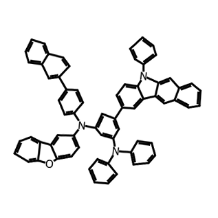 c1ccc(N(c2ccccc2)c2cc(-c3ccc4c(c3)c3cc5ccccc5cc3n4-c3ccccc3)cc(N(c3ccc(-c4ccc5ccccc5c4)cc3)c3ccc4oc5ccccc5c4c3)c2)cc1